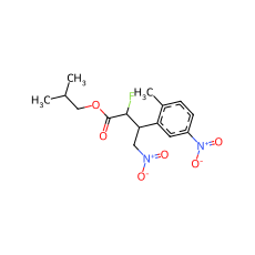 Cc1ccc([N+](=O)[O-])cc1C(C[N+](=O)[O-])C(F)C(=O)OCC(C)C